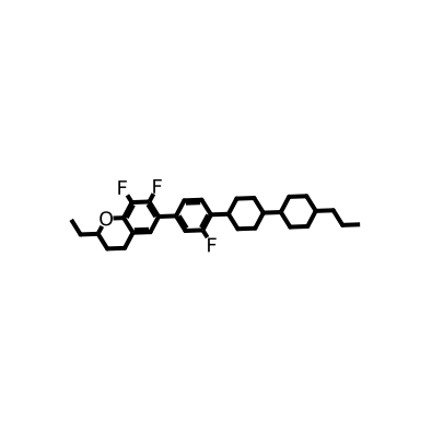 CCCC1CCC(C2CCC(c3ccc(-c4cc5c(c(F)c4F)OC(CC)CC5)cc3F)CC2)CC1